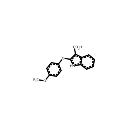 O=C(O)c1c(Oc2ccc(OC(F)(F)F)cc2)[nH]c2ccccc12